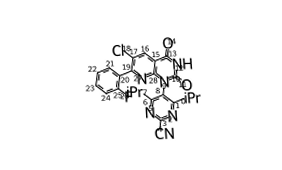 CC(C)c1nc(C#N)nc(C(C)C)c1-n1c(=O)[nH]c(=O)c2cc(Cl)c(-c3ccccc3F)nc21